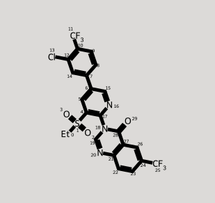 CCS(=O)(=O)c1cc(-c2ccc(C(F)(F)F)c(Cl)c2)cnc1-n1cnc2ccc(C(F)(F)F)cc2c1=O